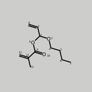 C=CC(OCCCC)OC(=O)C(=C)C